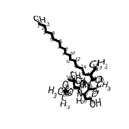 CCCCCCCCCCCCCCCCC(CC)C(=O)NC(CC)C(CC(=O)O)NC(=O)C1OC(C)(C)OCC1(C)C